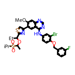 CCC(OC(C)S(=O)(=O)C(C)C)c1nc(-c2cc3c(Nc4ccc(OCc5cccc(F)c5)c(Br)c4)ncnc3cc2OC)cs1